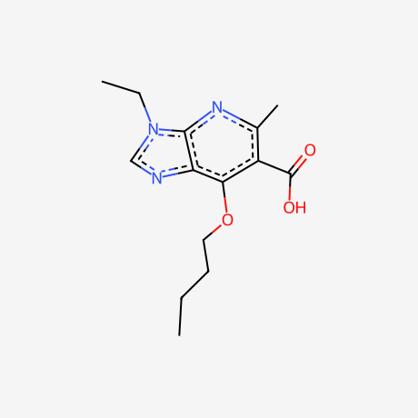 CCCCOc1c(C(=O)O)c(C)nc2c1ncn2CC